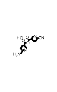 Cl.N#Cc1ccc(C(=O)OC(=O)c2ccc(CN)nc2)cn1